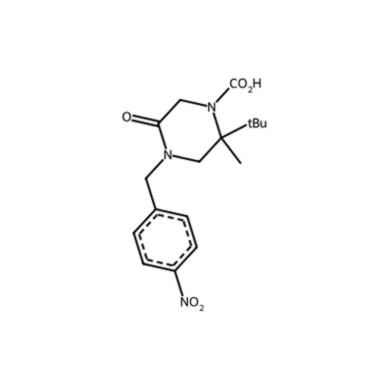 CC(C)(C)C1(C)CN(Cc2ccc([N+](=O)[O-])cc2)C(=O)CN1C(=O)O